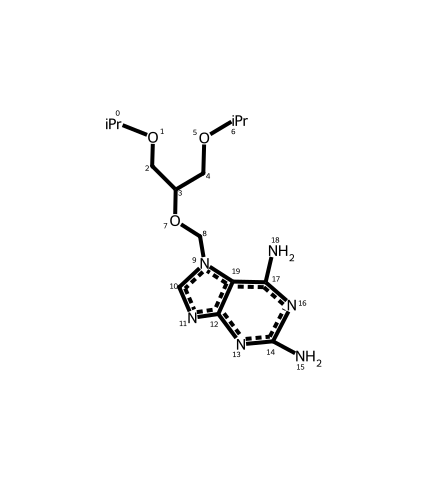 CC(C)OCC(COC(C)C)OCn1cnc2nc(N)nc(N)c21